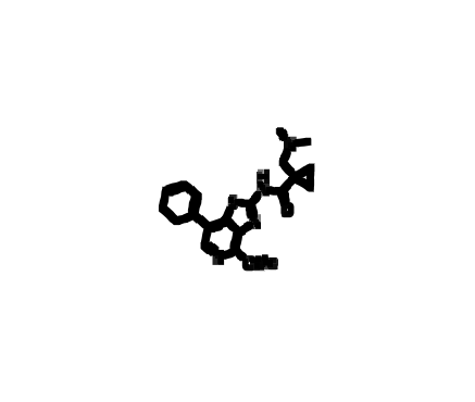 COc1ncc(C2=CC=CCC2)c2sc(NC(=O)C3(CN(C)C)CC3)nc12